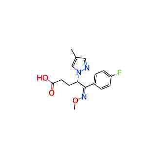 CON=C(c1ccc(F)cc1)C(CCC(=O)O)n1cc(C)cn1